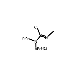 CCCN(CCC)C(Cl)=NC.Cl